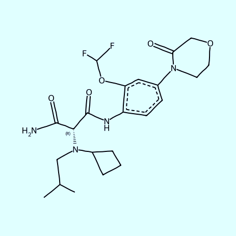 CC(C)CN(C1CCC1)[C@H](C(N)=O)C(=O)Nc1ccc(N2CCOCC2=O)cc1OC(F)F